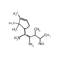 CC1=CCC(/C(N)=C(/N)C(C)C(C)N=O)C1(C)C